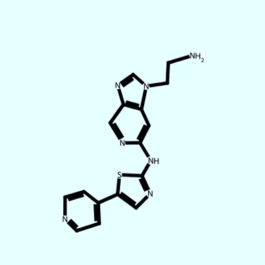 NCCn1cnc2cnc(Nc3ncc(-c4ccncc4)s3)cc21